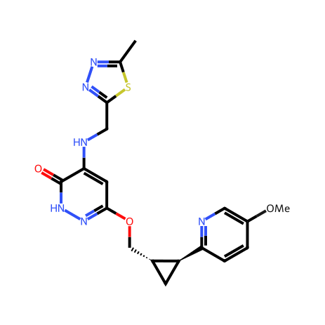 COc1ccc([C@H]2C[C@@H]2COc2cc(NCc3nnc(C)s3)c(=O)[nH]n2)nc1